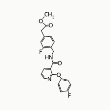 COC(=O)Cc1ccc(CNC(=O)c2cccnc2Oc2ccc(F)cc2)c(F)c1